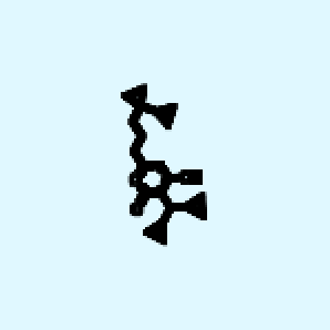 O=c1oc(CCCC2(C3CC3)CC2)cc(O)c1C(C1CC1)C1CC1